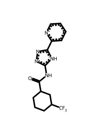 O=C(Nc1nnc(-c2ccccn2)[nH]1)C1CCCC(C(F)(F)F)C1